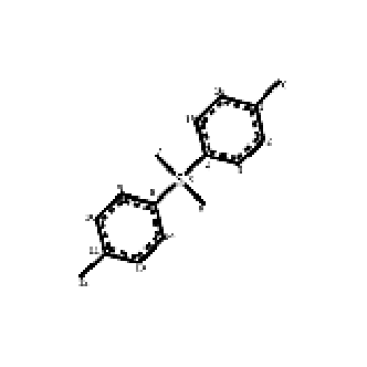 Cc1ccc(S(C)(C)c2ccc(C)cc2)cc1